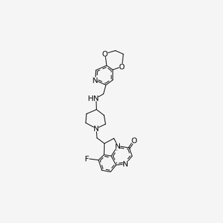 O=c1cnc2ccc(F)c3c2n1CC3CN1CCC(NCc2cc3c(cn2)OCCO3)CC1